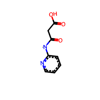 O=C(O)CC(=O)[N]c1ccccn1